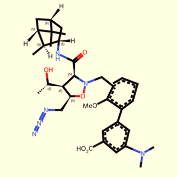 COc1c(CN2O[C@@H](CN=[N+]=[N-])[C@@H]([C@H](C)O)[C@H]2C(=O)N[C@H]2C[C@H]3C[C@@H]([C@@H]2C)C3(C)C)cccc1-c1cc(C(=O)O)cc(N(C)C)c1